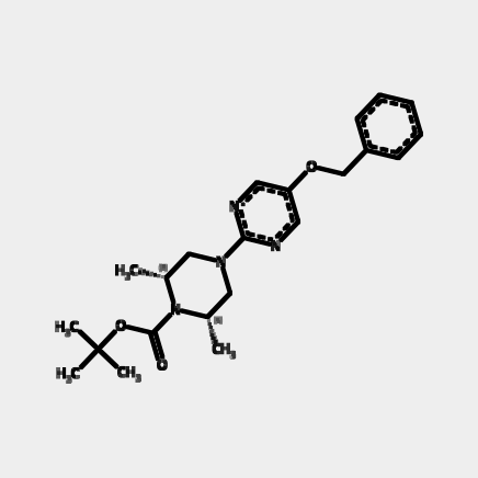 C[C@@H]1CN(c2ncc(OCc3ccccc3)cn2)C[C@H](C)N1C(=O)OC(C)(C)C